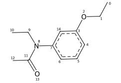 CCOc1cccc(N(CC)C(C)=O)c1